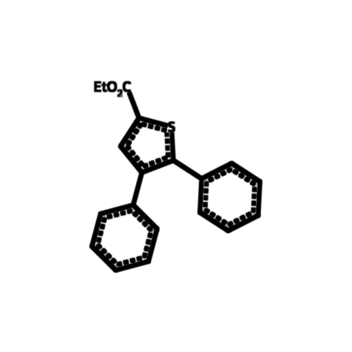 CCOC(=O)c1cc(-c2ccccc2)c(-c2ccccc2)s1